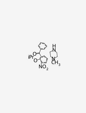 CC(C)Oc1c(C(=O)c2ccccc2)cccc1[N+](=O)[O-].CN1CCNCC1